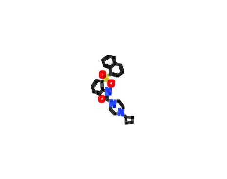 O=S(=O)(c1cccc2ccccc12)c1cccc2oc(N3CCN(C4CCC4)CC3)nc12